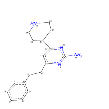 Nc1nc(CCc2ccccc2)cc(C2CCNCC2)n1